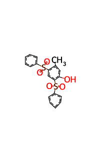 Cc1cc(O)c(S(=O)(=O)c2ccccc2)cc1S(=O)(=O)c1ccccc1